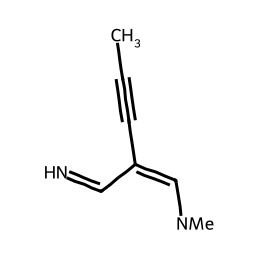 CC#C/C(C=N)=C/NC